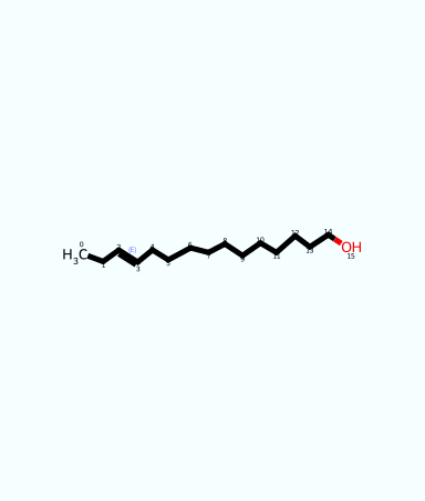 CC/C=C/CCCCCCCCCCCO